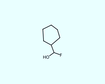 OC(F)C1CCCCC1